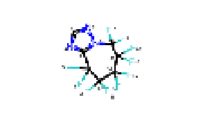 FC1(F)c2ncnn2C(F)(F)C(F)(F)C(F)(F)C1(F)F